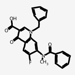 CN(C(=O)c1ccccc1)c1cc2c(cc1F)c(=O)c(C(=O)O)cn2Cc1ccccc1